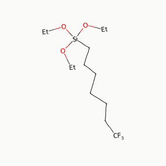 CCO[Si](CCCCCCC(F)(F)F)(OCC)OCC